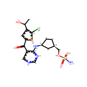 CC(O)c1cc(C(=O)c2cncnc2N[C@H]2CC[C@@H](COS(N)(=O)=O)C2)sc1Cl